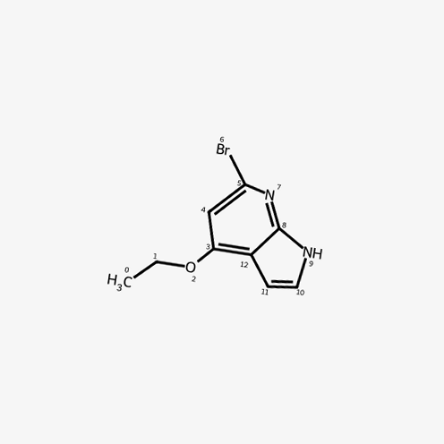 CCOc1cc(Br)nc2[nH]ccc12